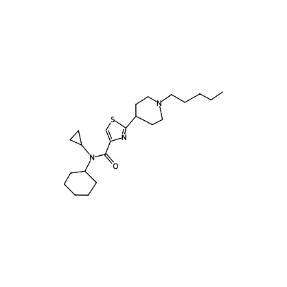 CCCCCN1CCC(c2nc(C(=O)N(C3CCCCC3)C3CC3)cs2)CC1